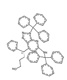 OCCC[C@H](c1ccccc1)c1cc(NC(c2ccccc2)(c2ccccc2)c2ccccc2)nc2c1nnn2C(c1ccccc1)(c1ccccc1)c1ccccc1